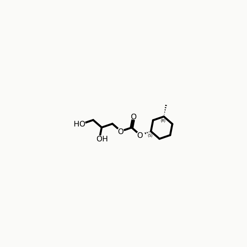 C[C@@H]1CCC[C@H](OC(=O)OCC(O)CO)C1